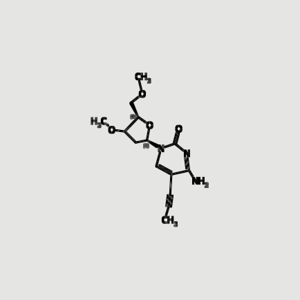 CC#Cc1cn([C@H]2CC(OC)[C@@H](COC)O2)c(=O)nc1N